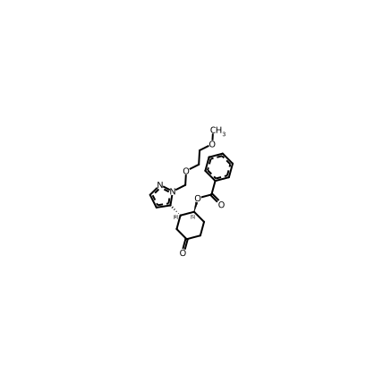 COCCOCn1nccc1[C@H]1CC(=O)CC[C@@H]1OC(=O)c1ccccc1